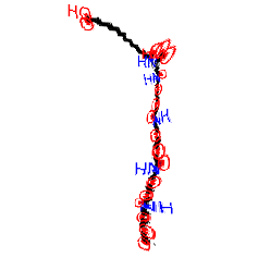 O=[C]COCCOCCNC(=O)COCCOCCNC(=O)COCCOCCNC(=O)COCCOCCNC(=O)CC[C@H](NC(=O)CCCCCCCCCCCCCCC(=O)O)C(=O)O